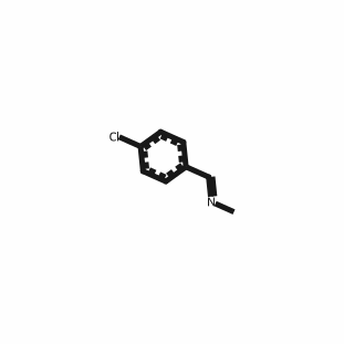 CN=Cc1ccc(Cl)cc1